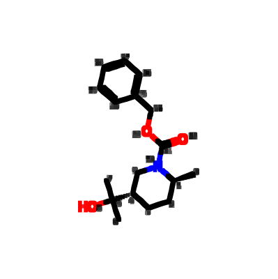 C[C@H]1CC[C@H](C(C)(C)O)CN1C(=O)OCc1ccccc1